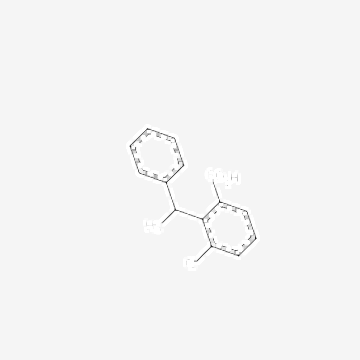 O=C(O)c1cccc(Cl)c1C(S)c1ccccc1